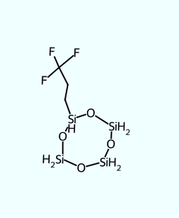 FC(F)(F)CC[SiH]1O[SiH2]O[SiH2]O[SiH2]O1